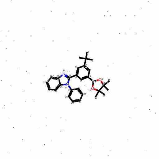 CC(C)(C)c1cc(B2OC(C)(C)C(C)(C)O2)cc(-c2nc3ccccc3n2-c2ccccc2)c1